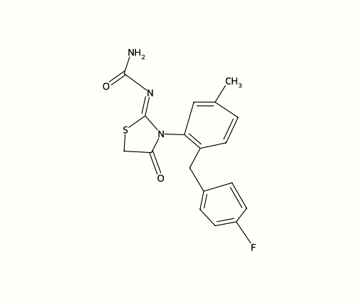 Cc1ccc(Cc2ccc(F)cc2)c(N2C(=O)CSC2=NC(N)=O)c1